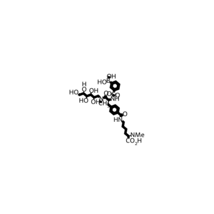 CN[C@@H](CCCCNC(=O)c1ccc(C[C@H](NS(=O)(=O)c2cccc(B(O)O)c2)C(=O)N(C)C[C@@H](O)[C@H](O)[C@@H](O)[C@@H](O)CO)cc1)C(=O)O